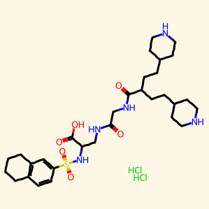 Cl.Cl.O=C(CNC(=O)C(CCC1CCNCC1)CCC1CCNCC1)NCC(NS(=O)(=O)c1ccc2c(c1)CCCC2)C(=O)O